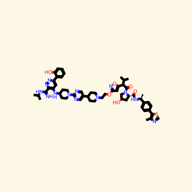 Cc1ncsc1-c1ccc([C@H](C)NC(=O)[C@@H]2C[C@@H](O)CN2C(=O)C(c2cc(OCCN3CCC(c4cnc(N5CCC(Nc6cc(-c7ccccc7O)nnc6C(=N)NC(C)C)CC5)nc4)CC3)no2)C(C)C)cc1